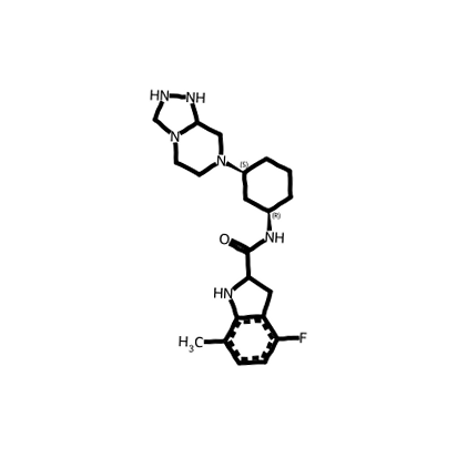 Cc1ccc(F)c2c1NC(C(=O)N[C@@H]1CCC[C@H](N3CCN4CNNC4C3)C1)C2